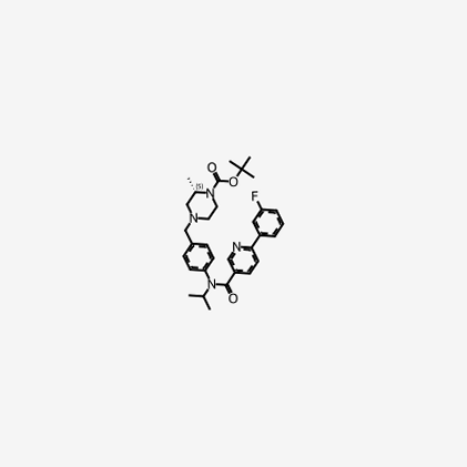 CC(C)N(C(=O)c1ccc(-c2cccc(F)c2)nc1)c1ccc(CN2CCN(C(=O)OC(C)(C)C)[C@@H](C)C2)cc1